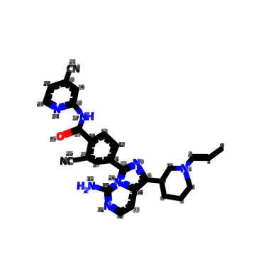 CC=CN1CCCC(c2nc(-c3ccc(C(=O)Nc4cc(C#N)ccn4)c(C#N)c3)n3c(N)nccc23)C1